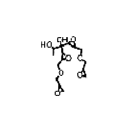 CC(O)C(O)(C1OC1COCC1CO1)C1OC1COCC1CO1